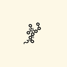 C=C(/C=C\C=C/C)n1c2ccccc2c2c3sc4cc(-c5ccc(-c6cccc(-c7ccccc7)c6)cc5-c5nc(-c6ccccc6)nc(-c6ccccc6)n5)ccc4c3ccc21